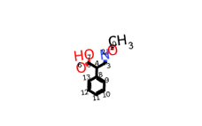 CON=CC(C(=O)O)c1ccccc1